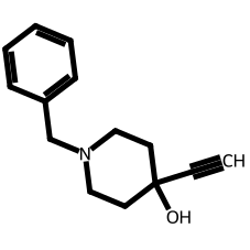 C#CC1(O)CCN(Cc2ccccc2)CC1